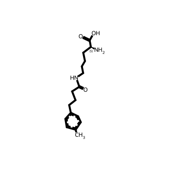 Cc1ccc(CCCC(=O)NCCCC[C@H](N)C(=O)O)cc1